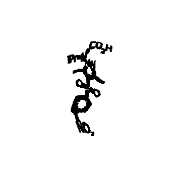 Cc1nn(N(C(=O)O)C(C)C)c(C)c1S(=O)(=O)c1ccc([N+](=O)[O-])cc1